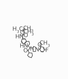 COc1cc(F)ccc1N1CCN(C(C(=O)C2CCCCC2)C2CCc3cc(NC(=O)OC(C)(C)C)ccc3N2)CC1